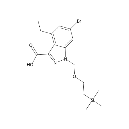 CCc1cc(Br)cc2c1c(C(=O)O)nn2COCC[Si](C)(C)C